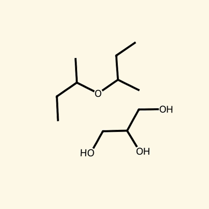 CCC(C)OC(C)CC.OCC(O)CO